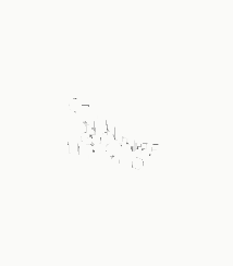 CCCCNC(=O)c1cnc2c(c1C)NC(=O)C1CN(C(=O)c3ccccc3C(F)(F)F)CCN21